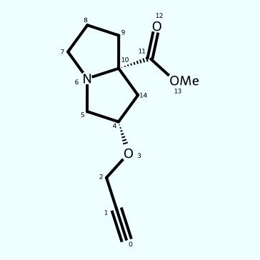 C#CCO[C@@H]1CN2CCC[C@@]2(C(=O)OC)C1